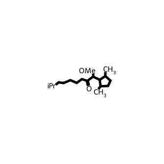 COC(C(=O)CCCCCC(C)C)C1C(C)CCC1C